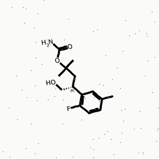 Cc1ccc(F)c([C@H](CO)CC(C)(C)OC(N)=O)c1